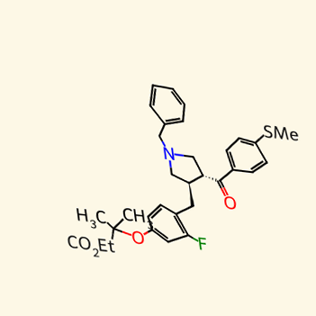 CCOC(=O)C(C)(C)Oc1ccc(C[C@H]2CN(Cc3ccccc3)C[C@@H]2C(=O)c2ccc(SC)cc2)c(F)c1